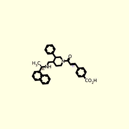 C[C@@H](NCC1CCN(C(=O)/C=C/c2ccc(C(=O)O)cc2)CC1c1ccccc1)c1cccc2ccccc12